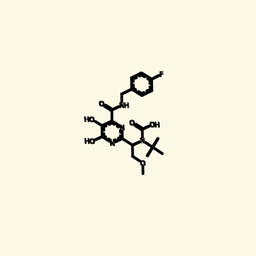 COCC(c1nc(O)c(O)c(C(=O)NCc2ccc(F)cc2)n1)N(C(=O)O)C(C)(C)C